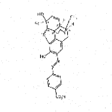 CC(=O)[C@]1(O)C=C[C@H]2[C@H]3Cc4cc(N=Nc5ccc(C(=O)O)cc5)c(O)c5c4[C@@]2(CCN3C)[C@H]1O5